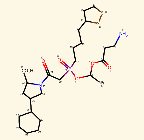 CC(C)C(OC(=O)CCN)OP(=O)(CCCCC1CCSS1)CC(=O)N1CC(C2CCCCC2)CC1C(=O)O